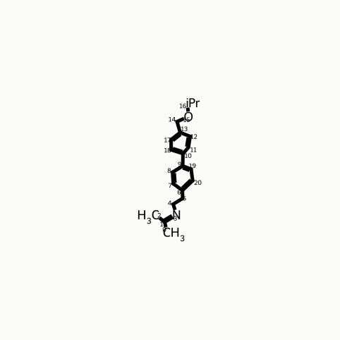 CC(C)=NCCc1ccc(-c2ccc(COC(C)C)cc2)cc1